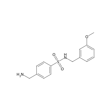 COc1cccc(CNS(=O)(=O)c2ccc(CN)cc2)c1